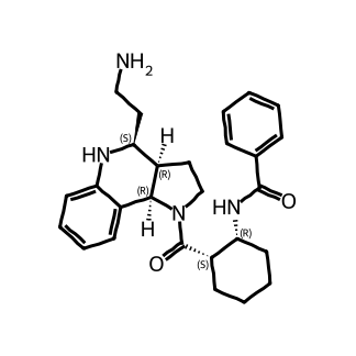 NCC[C@@H]1Nc2ccccc2[C@H]2[C@@H]1CCN2C(=O)[C@H]1CCCC[C@H]1NC(=O)c1ccccc1